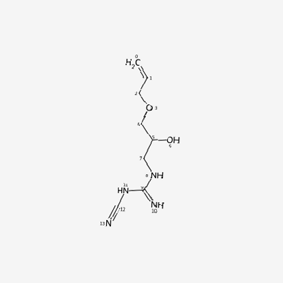 C=CCOCC(O)CNC(=N)NC#N